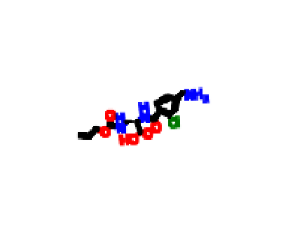 C=CCOC(=O)NC[C@H](NC(=O)c1ccc(CN)cc1Cl)C(=O)O